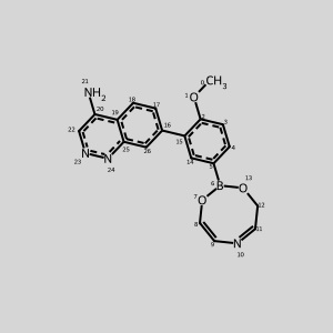 COc1ccc(B2OC=CN=CCO2)cc1-c1ccc2c(N)cnnc2c1